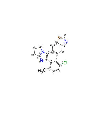 Cc1ccc(Cl)cc1-c1nc2n(c1-c1ccc3ncsc3c1)CCC2